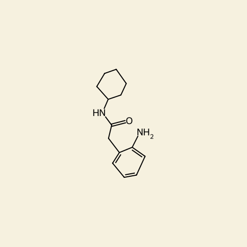 Nc1ccccc1CC(=O)NC1CCCCC1